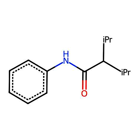 CC(C)C(C(=O)Nc1ccccc1)C(C)C